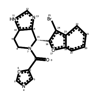 O=C(c1cnco1)N1CCc2[nH]cnc2[C@@H]1c1oc2ccccc2c1Br